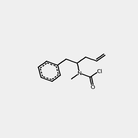 C=CCC(Cc1ccccc1)N(C)C(=O)Cl